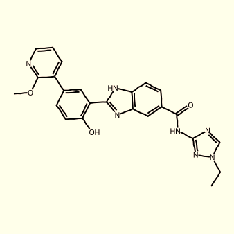 CCn1cnc(NC(=O)c2ccc3[nH]c(-c4cc(-c5cccnc5OC)ccc4O)nc3c2)n1